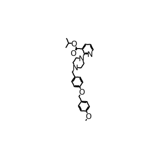 COc1ccc(COc2ccc(CN3CCN(c4ncccc4C(=O)OC(C)C)CC3)cc2)cc1